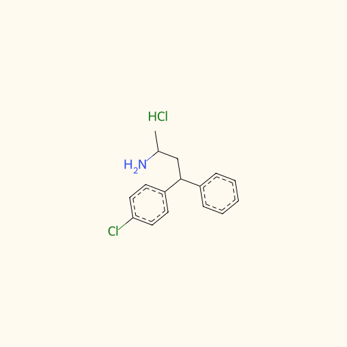 CC(N)CC(c1ccccc1)c1ccc(Cl)cc1.Cl